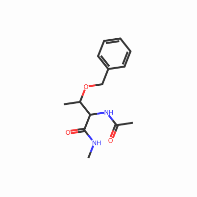 CNC(=O)C(NC(C)=O)C(C)OCc1ccccc1